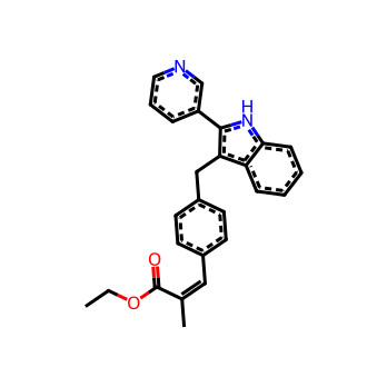 CCOC(=O)C(C)=Cc1ccc(Cc2c(-c3cccnc3)[nH]c3ccccc23)cc1